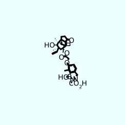 C=C[C@]1(C)C[C@@H](OC(=O)COc2ccc3c(c2C)B(O)N(C(=O)O)N=C3)[C@]2(C)[C@H](C)CC[C@]3(CCC(=O)[C@H]32)[C@@H](C)[C@@H]1O